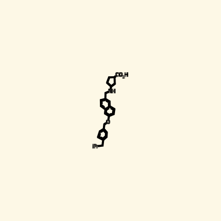 CC(C)Cc1ccc(COc2ccc3cc(CNC4CCC(C(=O)O)C4)ccc3c2)cc1